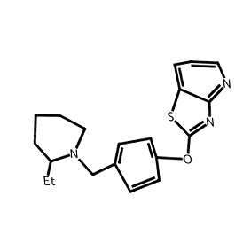 CCC1CCCCN1Cc1ccc(Oc2nc3ncccc3s2)cc1